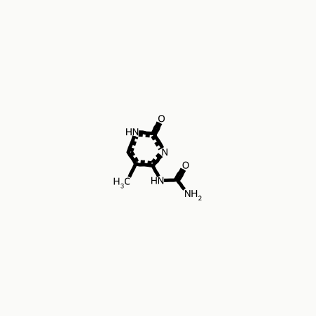 Cc1c[nH]c(=O)nc1NC(N)=O